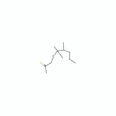 CCCC(C)C(C)(C)CCC(C)=S